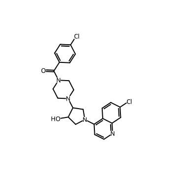 O=C(c1ccc(Cl)cc1)N1CCN(C2CN(c3ccnc4cc(Cl)ccc34)CC2O)CC1